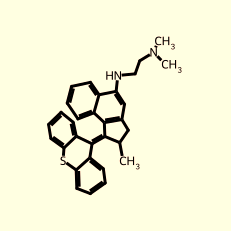 CC1Cc2cc(NCCN(C)C)c3ccccc3c2C1=C1c2ccccc2Sc2ccccc21